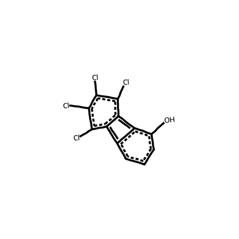 Oc1cccc2c1=c1c(Cl)c(Cl)c(Cl)c(Cl)c1=2